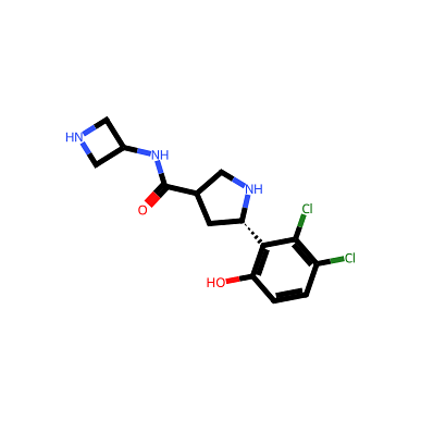 O=C(NC1CNC1)C1CN[C@H](c2c(O)ccc(Cl)c2Cl)C1